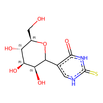 O=c1[nH]c(=S)[nH]cc1C1O[C@H](CO)[C@@H](O)[C@H](O)[C@@H]1O